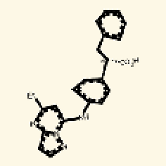 CCc1cc(Nc2ccc([C@H](Cc3ccccc3)C(=O)O)cc2)n2nccc2n1